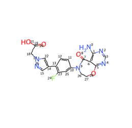 Nc1ncnc2c1C(=O)N(c1ccc(-c3cnn(CC(=O)O)c3)c(F)c1)CCO2